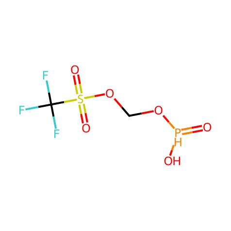 O=[PH](O)OCOS(=O)(=O)C(F)(F)F